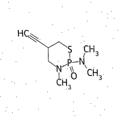 C#CC1CSP(=O)(N(C)C)N(C)C1